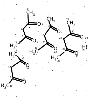 CC(=O)CC(C)=O.CC(=O)CC(C)=O.CC(=O)CC(C)=O.CC(=O)CC(C)=O.[Hf]